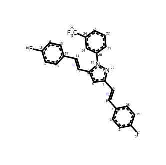 Fc1ccc(/C=C/c2cc(/C=C/c3ccc(F)cc3)n(-c3cccc(C(F)(F)F)c3)n2)cc1